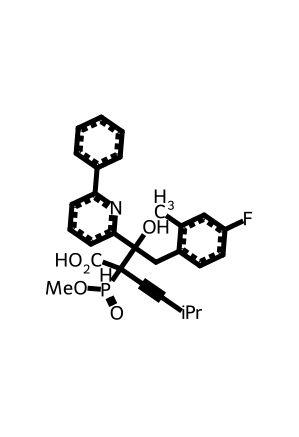 CO[PH](=O)C(C#CC(C)C)(C(=O)O)C(O)(Cc1ccc(F)cc1C)c1cccc(-c2ccccc2)n1